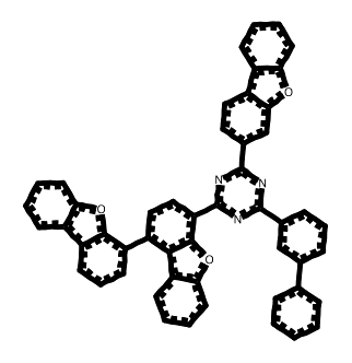 c1ccc(-c2cccc(-c3nc(-c4ccc5c(c4)oc4ccccc45)nc(-c4ccc(-c5cccc6c5oc5ccccc56)c5c4oc4ccccc45)n3)c2)cc1